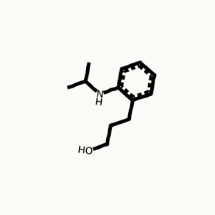 CC(C)Nc1ccccc1CCCO